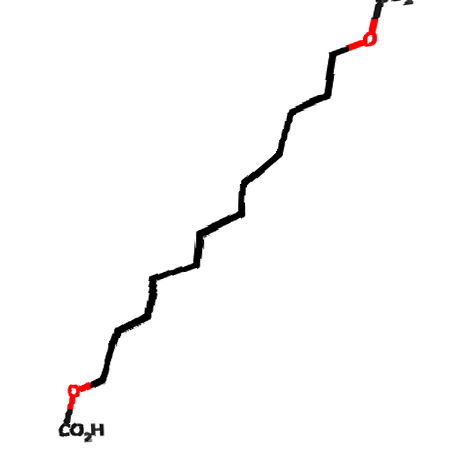 O=C(O)OCCCCCCCCCCCCOC(=O)O